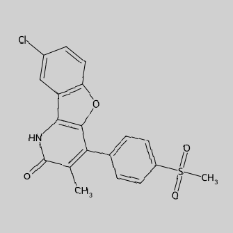 Cc1c(-c2ccc(S(C)(=O)=O)cc2)c2oc3ccc(Cl)cc3c2[nH]c1=O